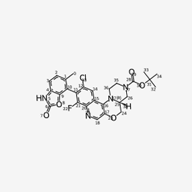 Cc1ccc2[nH]c(=O)oc2c1-c1c(Cl)cc2c3c(cnc2c1F)OC[C@H]1CN(C(=O)OC(C)(C)C)CCN31